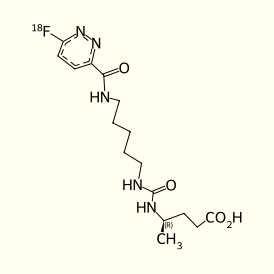 C[C@H](CCC(=O)O)NC(=O)NCCCCCNC(=O)c1ccc([18F])nn1